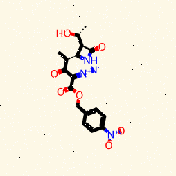 CC(C(=O)C(=[N+]=[N-])C(=O)OCc1ccc([N+](=O)[O-])cc1)[C@H]1NC(=O)[C@@H]1[C@@H](C)O